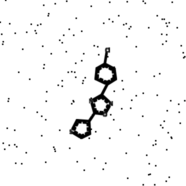 Clc1ccc(-c2noc(-c3ccsc3)n2)cc1